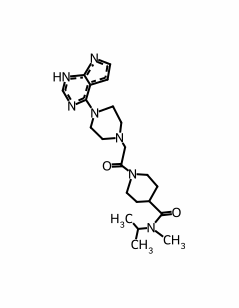 CC(C)N(C)C(=O)C1CCN(C(=O)CN2CCN(c3nc[nH]c4nccc3-4)CC2)CC1